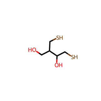 OCC(CS)C(O)CS